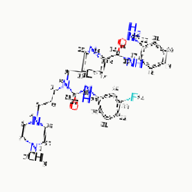 CN1CCN(CCCN(Cc2ccc(C(=O)Nc3ccccc3N)nc2)C(=O)Nc2cccc(F)c2)CC1